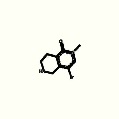 Cn1cc(Br)c2c(c1=O)CCNC2